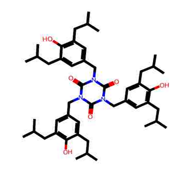 CC(C)Cc1cc(Cn2c(=O)n(Cc3cc(CC(C)C)c(O)c(CC(C)C)c3)c(=O)n(Cc3cc(CC(C)C)c(O)c(CC(C)C)c3)c2=O)cc(CC(C)C)c1O